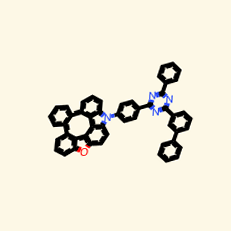 c1ccc(-c2cccc(-c3nc(-c4ccccc4)nc(-c4ccc(-n5c6cccc7c8ccccc8c8cccc9oc%10ccc5c(c%10c98)c76)cc4)n3)c2)cc1